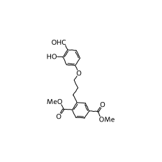 COC(=O)c1ccc(C(=O)OC)c(CCCOc2ccc(C=O)c(O)c2)c1